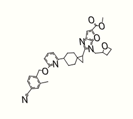 COC(=O)c1cc2nc(C3CC34CCC(c3cccc(OCc5ccc(C#N)cc5C)n3)CC4)n(CC3CCO3)c2o1